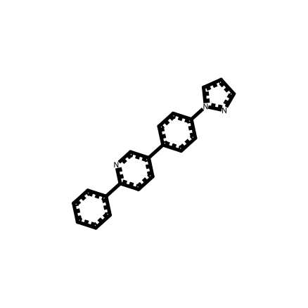 c1ccc(-c2ccc(-c3ccc(-n4cccn4)cc3)cn2)cc1